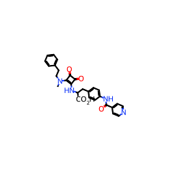 CN(CCc1ccccc1)c1c(NC(Cc2ccc(NC(=O)c3ccncc3)cc2)C(=O)O)c(=O)c1=O